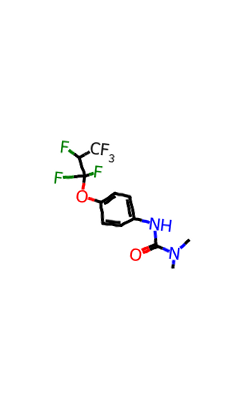 CN(C)C(=O)Nc1ccc(OC(F)(F)C(F)C(F)(F)F)cc1